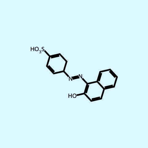 O=S(=O)(O)C1=CCC(/N=N/c2c(O)ccc3ccccc23)C=C1